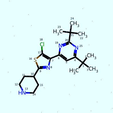 CC(C)(C)c1cc(-c2nc(C3CCNCC3)sc2Cl)nc(C(C)(C)C)n1